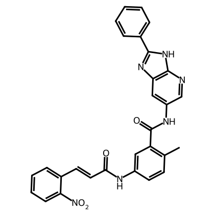 Cc1ccc(NC(=O)C=Cc2ccccc2[N+](=O)[O-])cc1C(=O)Nc1cnc2[nH]c(-c3ccccc3)nc2c1